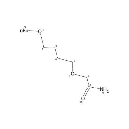 CCCCOCCCCOCC(N)=O